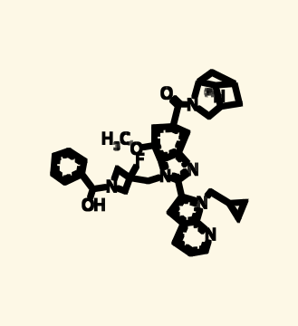 COc1cc(C(=O)N2CC3CC4CC2[C@H]43)cc2nc(-c3cc4cccnc4n3CC3CC3)n(CC3(F)CN(C(O)c4ccccc4)C3)c12